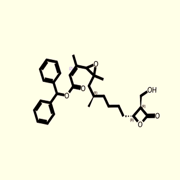 C/C(=C/C(=O)OC(c1ccccc1)c1ccccc1)C1OC1(C)C[C@H](C)CCCC[C@H]1OC(=O)[C@@H]1CO